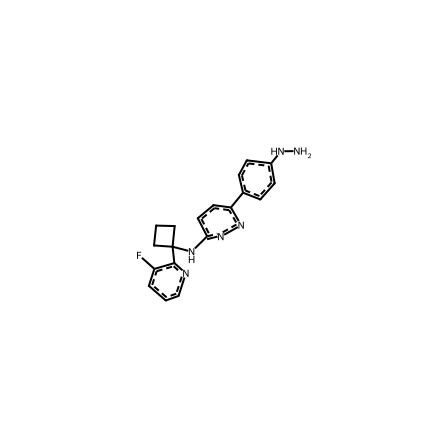 NNc1ccc(-c2ccc(NC3(c4ncccc4F)CCC3)nn2)cc1